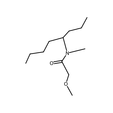 CCCCC(CCC)N(C)C(=O)COC